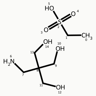 CCS(=O)(=O)O.NCC(CO)(CO)CO